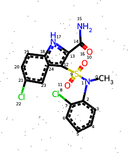 CN(c1ccccc1Cl)S(=O)(=O)c1c(C(N)=O)[nH]c2ccc(Cl)cc12